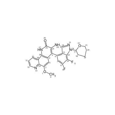 COc1cc2c(-c3cc(F)c(F)c4c3cnn4C3CCCCO3)c(N)c(=O)[nH]c2c2cccnc12